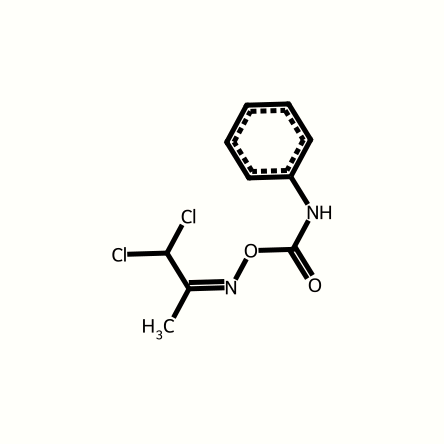 CC(=NOC(=O)Nc1ccccc1)C(Cl)Cl